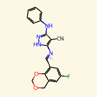 N#Cc1c(Nc2ccccc2)n[nH]c1/N=C/c1cc(F)cc2c1OCOC2